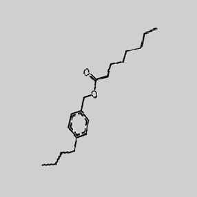 CCCCCCCC(=O)OCc1ccc(CCCC)cc1